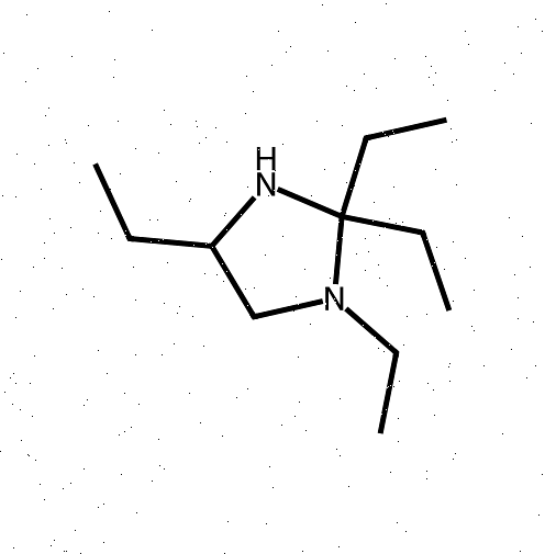 CCC1CN(CC)C(CC)(CC)N1